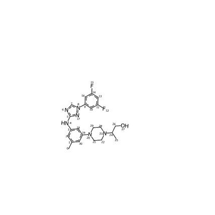 Cc1cc(Nc2ncn(-c3cc(F)cc(F)c3)n2)cc(N2CCN(C(C)CO)CC2)c1